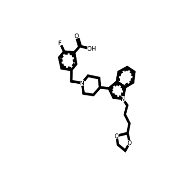 O=C(O)c1cc(CN2CCC(c3cn(CCCC4OCCO4)c4ccccc34)CC2)ccc1F